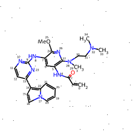 C=CC(=O)Nc1cc(Nc2nccc(-c3ccn4ccccc34)n2)c(OC)nc1N(C)CCN(C)C